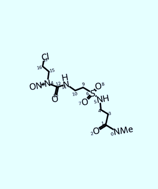 CNC(=O)CCNS(=O)(=O)CCNC(=O)N(CCCl)N=O